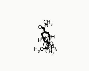 COC(=O)C1=C[C@H]2CN(C)C[C@@H](C1)N2C(=O)OC(C)(C)C